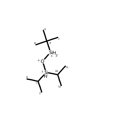 CC(C)[SiH](O[SiH2]C(C)(C)C)C(C)C